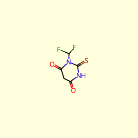 O=C1CC(=O)N(C(F)F)C(=S)N1